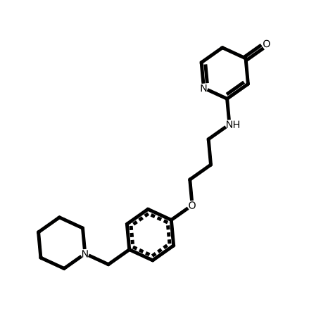 O=C1C=C(NCCCOc2ccc(CN3CCCCC3)cc2)N=CC1